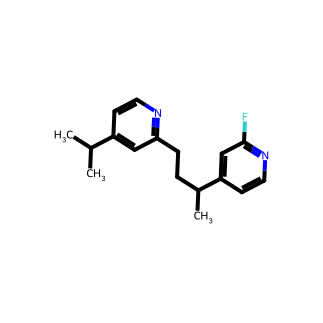 CC(C)c1ccnc(CCC(C)c2ccnc(F)c2)c1